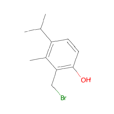 Cc1c(C(C)C)ccc(O)c1CBr